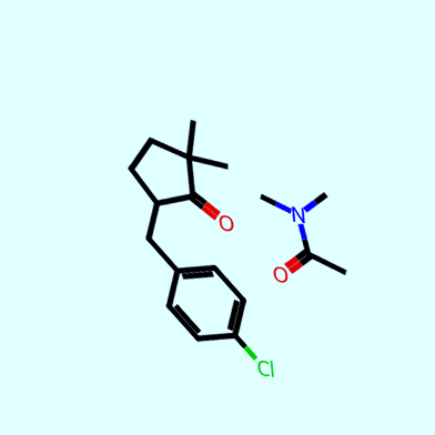 CC(=O)N(C)C.CC1(C)CCC(Cc2ccc(Cl)cc2)C1=O